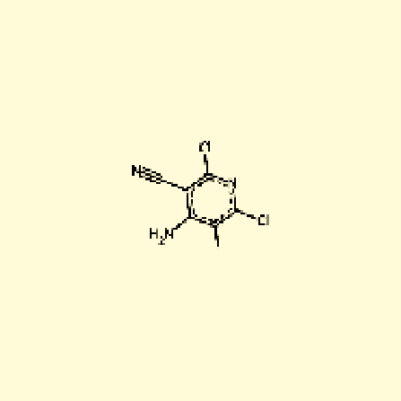 N#Cc1c(Cl)nc(Cl)c(I)c1N